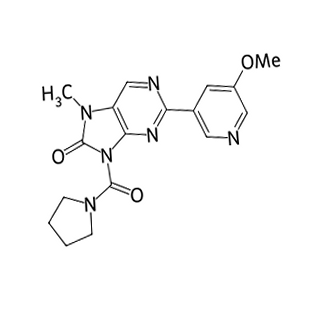 COc1cncc(-c2ncc3c(n2)n(C(=O)N2CCCC2)c(=O)n3C)c1